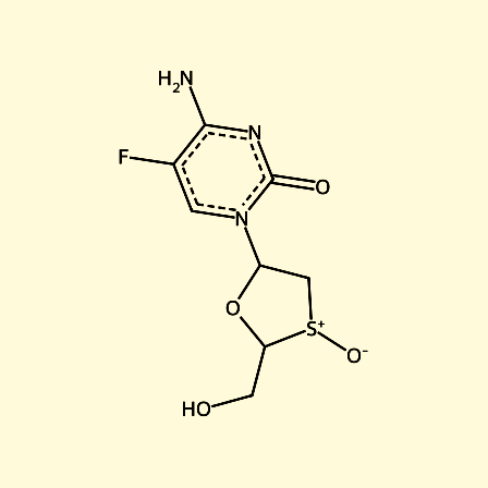 Nc1nc(=O)n(C2C[S+]([O-])C(CO)O2)cc1F